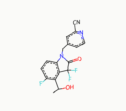 CC(O)c1c(F)ccc2c1C(F)(F)C(=O)N2Cc1ccnc(C#N)c1